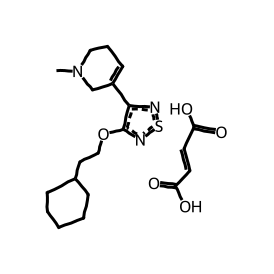 CN1CCC=C(c2nsnc2OCCC2CCCCC2)C1.O=C(O)C=CC(=O)O